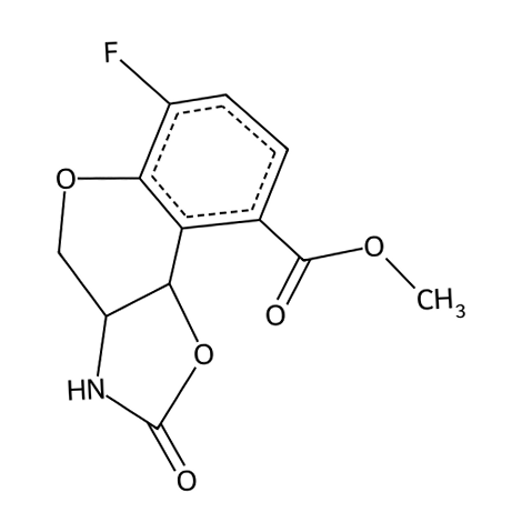 COC(=O)c1ccc(F)c2c1C1OC(=O)NC1CO2